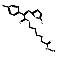 O=C(CCCCCNC(=O)/C(=C\c1ccc(Cl)s1)c1ccc(F)cc1)NO